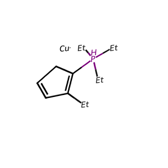 CCC1=C([PH](CC)(CC)CC)CC=C1.[Cu]